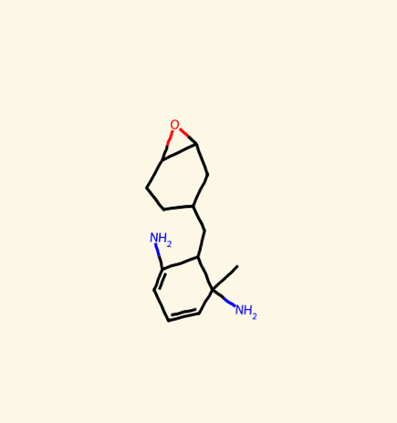 CC1(N)C=CC=C(N)C1CC1CCC2OC2C1